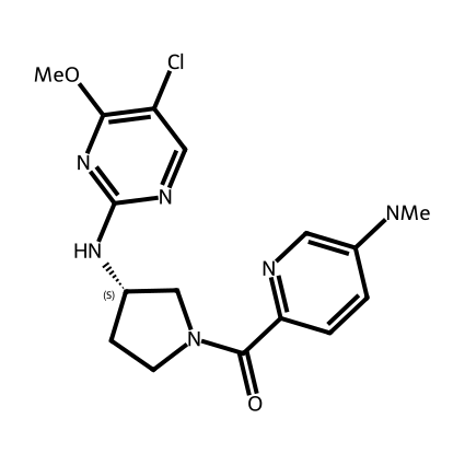 CNc1ccc(C(=O)N2CC[C@H](Nc3ncc(Cl)c(OC)n3)C2)nc1